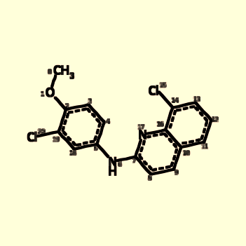 COc1ccc(Nc2ccc3cccc(Cl)c3n2)cc1Cl